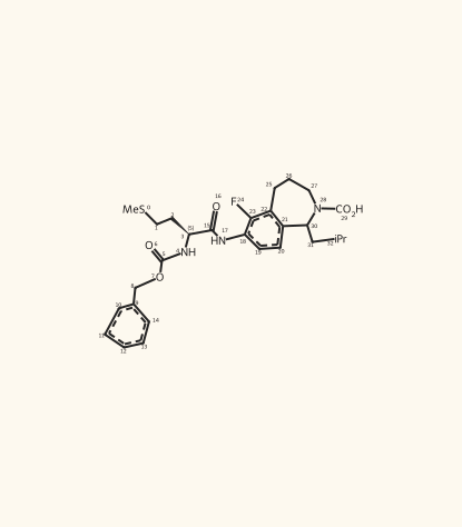 CSCC[C@H](NC(=O)OCc1ccccc1)C(=O)Nc1ccc2c(c1F)CCCN(C(=O)O)C2CC(C)C